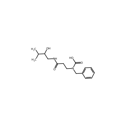 CC(C)C(O)CNC(=O)CCN(Cc1ccccc1)C(=O)O